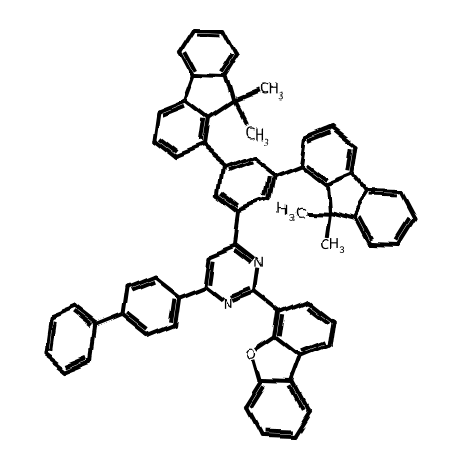 CC1(C)c2ccccc2-c2cccc(-c3cc(-c4cc(-c5ccc(-c6ccccc6)cc5)nc(-c5cccc6c5oc5ccccc56)n4)cc(-c4cccc5c4C(C)(C)c4ccccc4-5)c3)c21